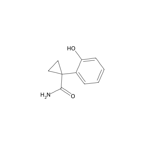 NC(=O)C1(c2ccccc2O)CC1